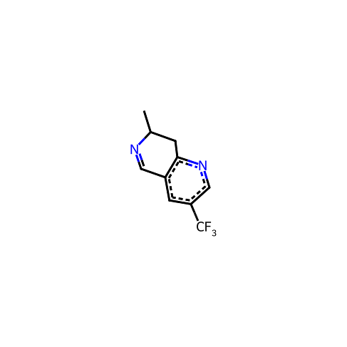 CC1Cc2ncc(C(F)(F)F)cc2C=N1